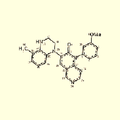 COc1cccc(-n2c(=O)c(N3CCNc4c(C)cccc43)cc3cncnc32)c1